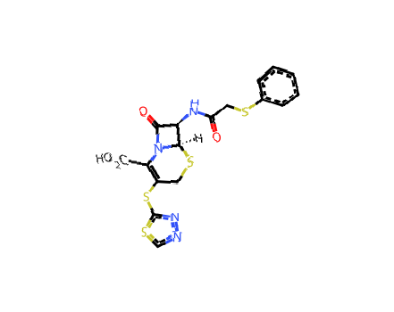 O=C(CSc1ccccc1)N[C@@H]1C(=O)N2C(C(=O)O)=C(Sc3nncs3)CS[C@H]12